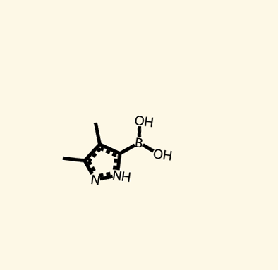 Cc1n[nH]c(B(O)O)c1C